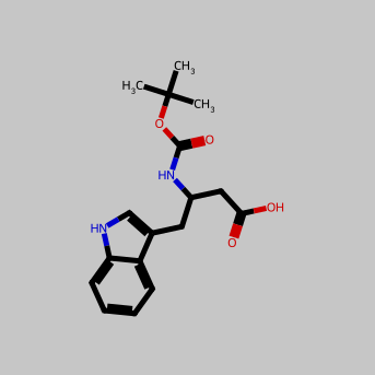 CC(C)(C)OC(=O)NC(CC(=O)O)Cc1c[nH]c2ccccc12